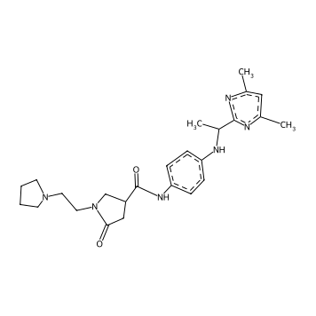 Cc1cc(C)nc(C(C)Nc2ccc(NC(=O)C3CC(=O)N(CCN4CCCC4)C3)cc2)n1